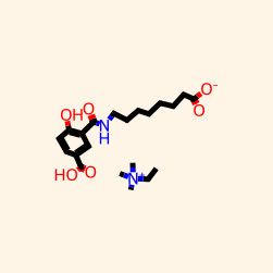 CC[N+](C)(C)C.O=C([O-])CCCCCCCNC(=O)c1cc(C(=O)O)ccc1O